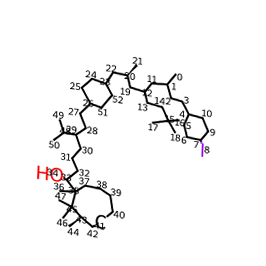 CC(CCC1CCC(I)CC1)CC(CCC(C)(C)C)C[C@H](C)CC1CCC(CCC(CCCC(O)C2(C)CCCCCC[C@@H](C)C2(C)C)C(C)C)CC1